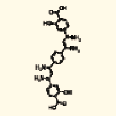 N/C(=C\N(N)c1ccc(C(=O)O)c(O)c1)c1ccc(/C(N)=C/N(N)c2ccc(C(=O)O)c(O)c2)cc1